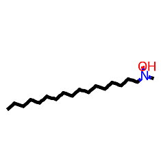 CCCCCCCCCCCCCCCCCN(C)O